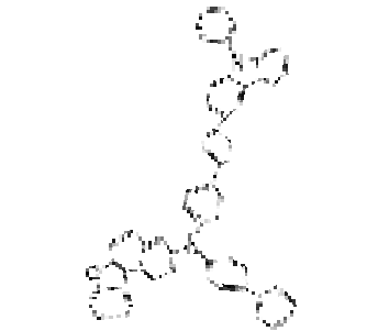 c1ccc(-c2ccc(N(c3ccc(-c4ccc(-c5ccc6c(c5)c5ccccc5n6-c5ccccc5)cc4)cc3)c3ccc4c(ccc5oc6ccccc6c54)c3)cc2)cc1